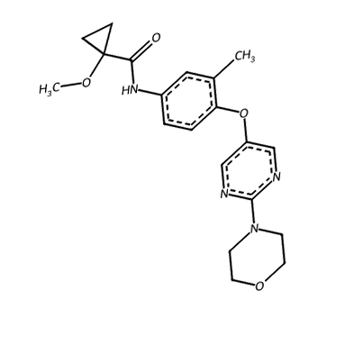 COC1(C(=O)Nc2ccc(Oc3cnc(N4CCOCC4)nc3)c(C)c2)CC1